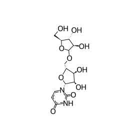 O=c1ccn([C@@H]2O[C@H](COC3O[C@@H](CO)[C@H](O)[C@H]3O)[C@@H](O)[C@H]2O)c(=O)[nH]1